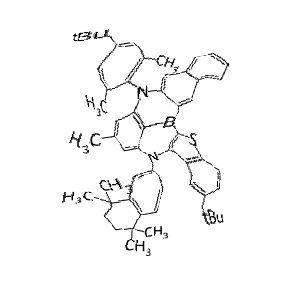 Cc1cc2c3c(c1)N(c1ccc4c(c1)C(C)(C)CCC4(C)C)c1c(sc4ccc(C(C)(C)C)cc14)B3c1cc3ccccc3cc1N2c1c(C)cc(C(C)(C)C)cc1C